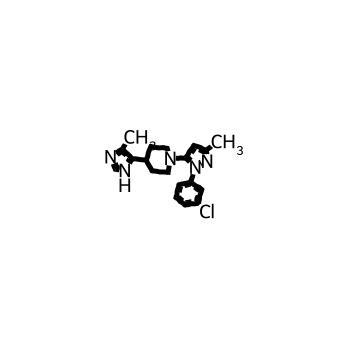 Cc1cc(N2CCC(c3[nH]cnc3C)CC2)n(-c2cccc(Cl)c2)n1